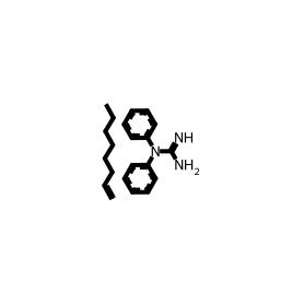 C=CCCCCCC.N=C(N)N(c1ccccc1)c1ccccc1